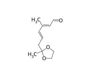 CC(C=CCC1(C)OCCO1)=CC=O